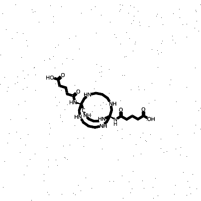 O=C(O)CCCC(=O)N[C@]12CNCCCNC[C@](NC(=O)CCCC(=O)O)(CNCCCNC1)NCCCNC2